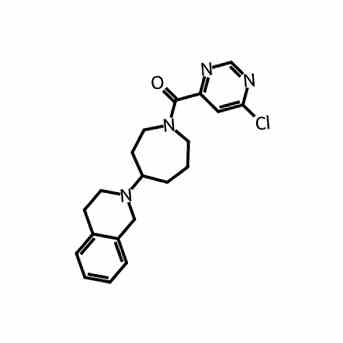 O=C(c1cc(Cl)ncn1)N1CCCC(N2CCc3ccccc3C2)CC1